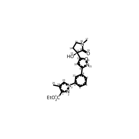 CCOC(=O)c1nn(-c2cccc(-c3cc([C@]4(O)CCN(C)C4=O)on3)c2)cc1C